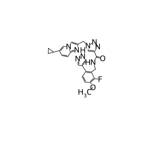 COc1ccc(-c2cn[nH]c2)c(CNC(=O)c2cn(Cc3cn4cc(C5CC5)ccc4n3)nn2)c1F